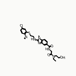 C=Nc1ccc(Cl)cc1SCCNc1nc2cc(C(=O)NCC(=O)N(CC)CCO)ccc2n1C